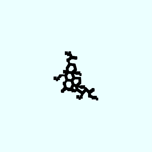 CC[C@H]1[C@@H](OC(C)=O)C2C3CC[C@H]([C@H](C)CC(=O)ON)[C@@]3(C)CCC2[C@@]2(C)CC[C@@H](OC(C)=O)C[C@@H]12